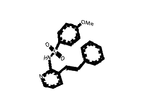 COc1ccc(S(=O)(=O)Nc2ncccc2C=Cc2ccccc2)cc1